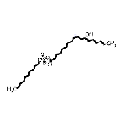 CCCCCCCCCCOS(=O)(=O)OC(=O)CCCCCCC/C=C\C[C@H](O)CCCCCC